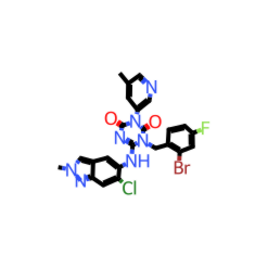 Cc1cncc(-n2c(=O)nc(Nc3cc4cn(C)nc4cc3Cl)n(Cc3ccc(F)cc3Br)c2=O)c1